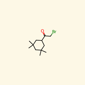 CC1(C)CC(C(=O)CBr)CC(C)(C)C1